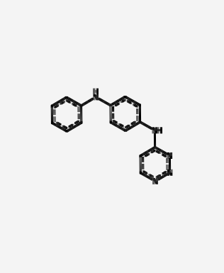 c1ccc(Nc2ccc(Nc3ccnnn3)cc2)cc1